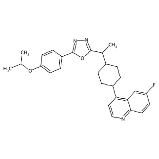 CC(C)Oc1ccc(-c2nnc(C(C)C3CCC(c4ccnc5ccc(F)cc45)CC3)o2)cc1